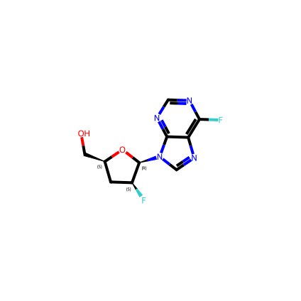 OC[C@@H]1C[C@H](F)[C@H](n2cnc3c(F)ncnc32)O1